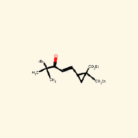 CCCCC(C)(C)C(=O)/C=C/C1CC1(C(=O)OCC)C(=O)OCC